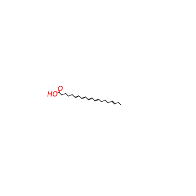 CC/C=C/CCC/C=C/C=C/C=C/C=C/CCCCC(=O)O